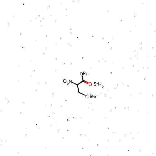 CCCCCCCC(C(=O)CCC)[N+](=O)[O-].[SrH2]